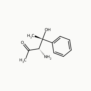 CC(=O)[C@@H](N)[C@](C)(O)c1ccccc1